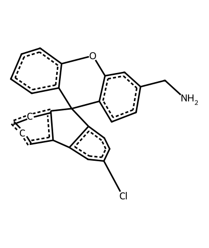 NCc1ccc2c(c1)Oc1ccccc1C21c2ccccc2-c2cc(Cl)ccc21